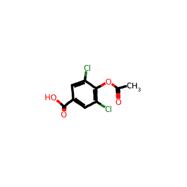 CC(=O)Oc1c(Cl)cc(C(=O)O)cc1Cl